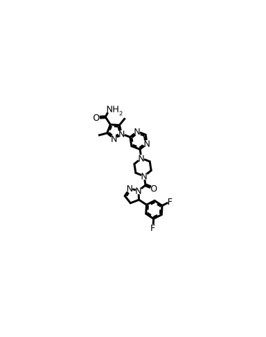 Cc1nn(-c2cc(N3CCN(C(=O)N4N=CCC4c4cc(F)cc(F)c4)CC3)ncn2)c(C)c1C(N)=O